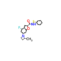 CC1CCN1c1cc(F)c2cc(C(=O)NSc3ccccc3)oc2c1